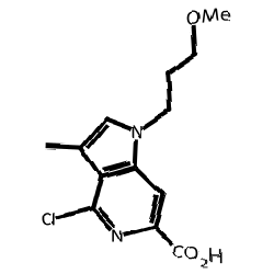 COCCCn1cc(C)c2c(Cl)nc(C(=O)O)cc21